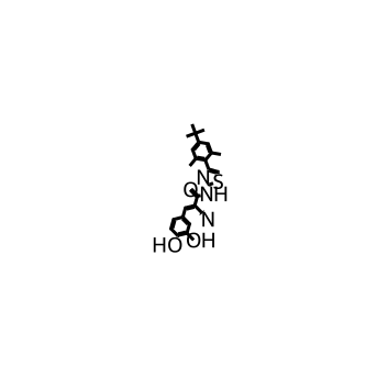 Cc1cc(C(C)(C)C)cc(C)c1-c1csc(NC(=O)/C(C#N)=C/c2ccc(O)c(O)c2)n1